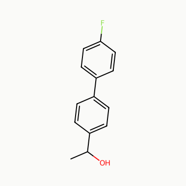 CC(O)c1ccc(-c2ccc(F)cc2)cc1